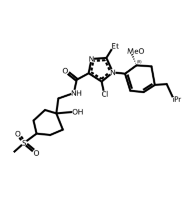 CCc1nc(C(=O)NCC2(O)CCC(S(C)(=O)=O)CC2)c(Cl)n1C1=CC=C(CC(C)C)C[C@H]1OC